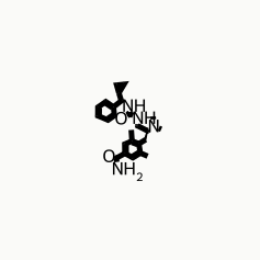 Cc1cc(C(N)=O)cc(C)c1C[C@@H](CNC(=O)N[C@H](c1ccccc1)C1CC1)N(C)C